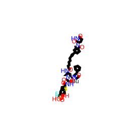 CC(C)(C)[C@H](NC(=O)c1cc2cc(C(F)(F)P(=O)(O)O)ccc2s1)C(=O)N1C[C@@H](NC(=O)CCCCCC#Cc2ccc3c(c2)CN(C2CCC(=O)NC2=O)C3=O)C[C@H]1C(=O)N1CCOC(c2ccccc2)C1